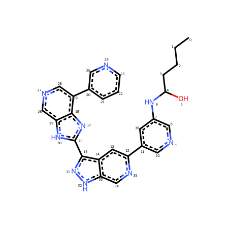 CCCCC(O)Nc1cncc(-c2cc3c(-c4nc5c(-c6cccnc6)cncc5[nH]4)n[nH]c3cn2)c1